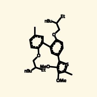 CCCCC(CC)COc1ccc(C)cc1-c1cc(-c2sc(C)c(OC)c2OC)ccc1OCC(CC)CCCC